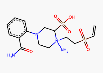 C=CS(=O)(=O)CC[N+]1(N)CCN(c2ccccc2C(N)=O)CC1S(=O)(=O)O